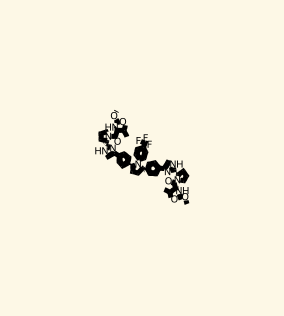 COC(=O)N[C@H](C(=O)N1CCC[C@H]1c1nc(-c2ccc([C@H]3CC[C@@H](c4ccc(-c5c[nH]c([C@@H]6CCCN6C(=O)[C@@H](NC(=O)OC)C(C)C)n5)cc4)N3c3ccc(C(F)(F)F)cc3)cc2)c[nH]1)C(C)C